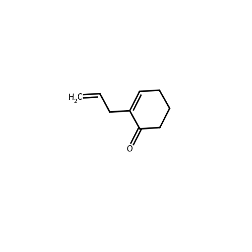 C=CCC1=CCCCC1=O